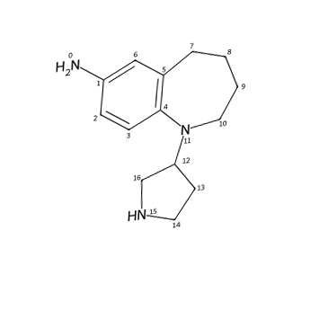 Nc1ccc2c(c1)CCCCN2C1CCNC1